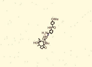 C=C[C@]1(C)CC(OC(=O)CN/C=C(\N)c2cccc(NC(=O)c3ccc(OC)cc3)c2)[C@](C)(C(C)CC)C2C(=O)CCC2C(C)[C@@H]1O